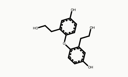 OCCc1cc(O)ccc1Oc1ccc(O)cc1CCO